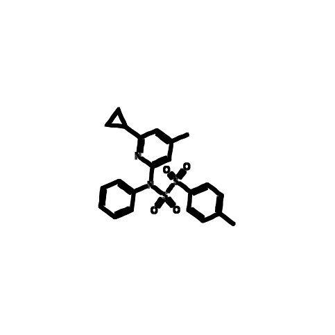 Cc1ccc(S(=O)(=O)S(=O)(=O)N(c2ccccc2)c2cc(C)cc(C3CC3)n2)cc1